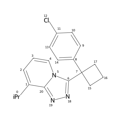 CC(C)c1cccn2c(C3(c4ccc(Cl)cc4)CCC3)nnc12